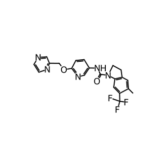 Cc1cc2c(cc1C(F)(F)F)N(C(=O)Nc1ccc(OCc3cnccn3)nc1)CC2